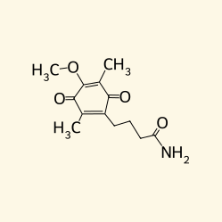 COC1=C(C)C(=O)C(CCCC(N)=O)=C(C)C1=O